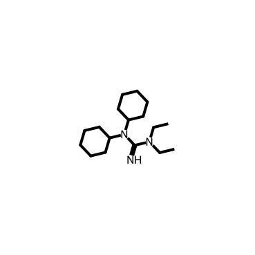 CCN(CC)C(=N)N(C1CCCCC1)C1CCCCC1